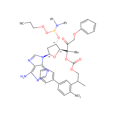 CC(COC(=O)OC(C(=O)COc1ccccc1)([C@H]1O[C@@H](n2cnc3c(N)ncnc32)C[C@@H]1OP(OOCCC#N)N(C(C)C)C(C)C)C(C)(C)C)c1cc(-c2ccccc2)ccc1[N+](=O)[O-]